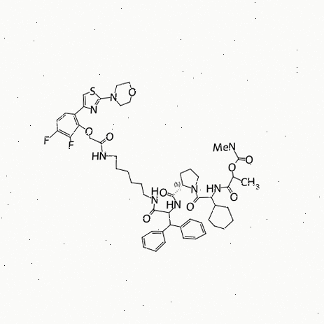 CNC(=O)OC(C)C(=O)NC(C(=O)N1CCC[C@H]1C(=O)NC(C(=O)NCCCCCCNC(=O)COc1c(-c2csc(N3CCOCC3)n2)ccc(F)c1F)C(c1ccccc1)c1ccccc1)C1CCCCC1